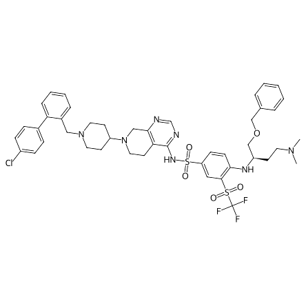 CN(C)CC[C@H](COCc1ccccc1)Nc1ccc(S(=O)(=O)Nc2ncnc3c2CCN(C2CCN(Cc4ccccc4-c4ccc(Cl)cc4)CC2)C3)cc1S(=O)(=O)C(F)(F)F